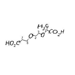 CC(OCCOCCC(=O)O)C(=O)O